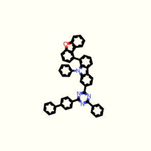 c1ccc(-c2ccc(-c3nc(-c4ccccc4)nc(-c4ccc5c6cccc(-c7cccc8oc9ccccc9c78)c6n(-c6ccccc6)c5c4)n3)cc2)cc1